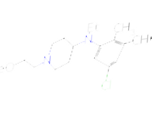 CCN(c1cc(Cl)cc(C=O)c1C)C1CCN(CCOC)CC1